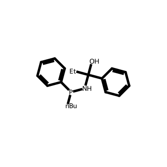 CCCCP(NC(O)(CC)c1ccccc1)c1ccccc1